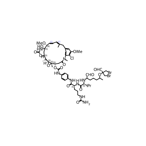 COc1cc2cc(c1Cl)N(C)C(=O)C[C@H](OC(=O)Nc1ccc(NC(=O)[C@H](CCCNC(N)=O)NC(=O)[C@@H](NC(C=O)CCCC(C)OC(C=O)(CBr)CBr)C(C)C)cc1)[C@]1(C)O[C@H]1[C@H](C)[C@@H]1C[C@@](O)(NC(=O)O1)[C@H](OC)/C=C/C=C(\C)C2